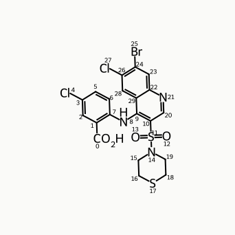 O=C(O)c1cc(Cl)ccc1Nc1c(S(=O)(=O)N2CCSCC2)cnc2cc(Br)c(Cl)cc12